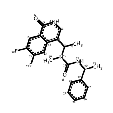 CC(c1c[nH]c(=O)c2cc(F)c(F)cc12)N(C)C(=O)N[C@@H](C)c1ccccc1